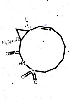 N[C@]12C[C@H]1/C=C\CCCCCS(=O)(=O)NC2=O